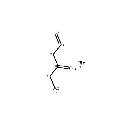 C=CCC(=O)CC(C)=O.[Rh]